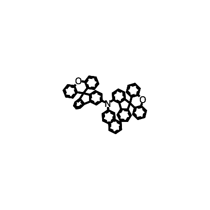 c1ccc2c(c1)Oc1ccccc1C21c2ccccc2-c2cc(N(c3ccc4ccccc4c3)c3cccc4c3-c3ccccc3C43c4ccccc4Oc4ccccc43)ccc21